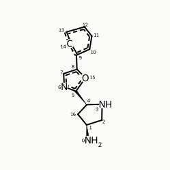 N[C@@H]1CN[C@H](c2ncc(-c3ccccc3)o2)C1